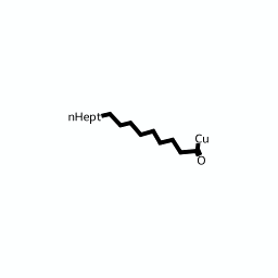 CCCCCCCCCCCCCCC[C](=O)[Cu]